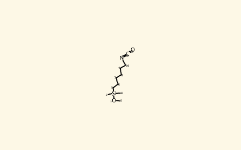 CO[Si](C)(C)CCCCCCN=C=O